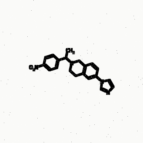 CC(c1ccc([N+](=O)[O-])cc1)N1CCc2cc(-n3ccnc3)ccc2C1